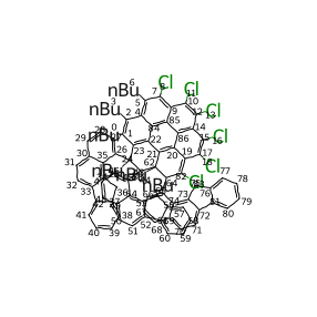 CCCCc1c(CCCC)c2c(CCCC)c(Cl)c3c(Cl)c(Cl)c4c(Cl)c(Cl)c5c6c7c(c1C(CCCC)(c1cccc8ccc9c(c18)Cc1ccccc1-9)C(CCCC)(c1cccc8ccc9c(c18)Cc1ccccc1-9)C7(CCCC)C(c1cccc7ccc8c(c17)Cc1ccccc1-8)C=5Cl)c2c3c46